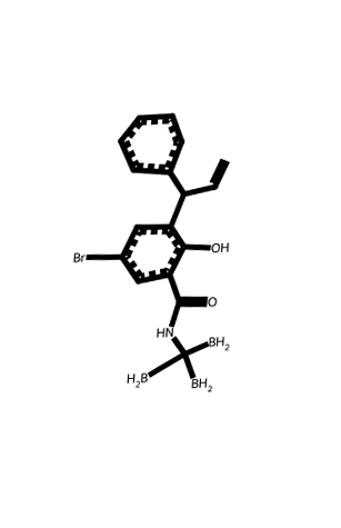 BC(B)(B)NC(=O)c1cc(Br)cc(C(C=C)c2ccccc2)c1O